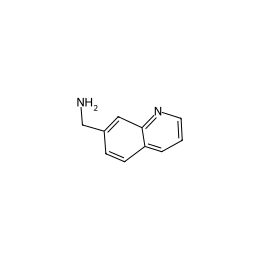 NCc1ccc2cccnc2c1